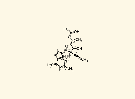 C=C1NC(N)=Nc2c1ccn2[C@@H]1O[C@H]([C@H](C)OC(O)O)C(O)C1(N)C#CC